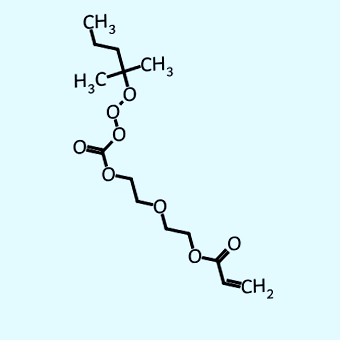 C=CC(=O)OCCOCCOC(=O)OOOC(C)(C)CCC